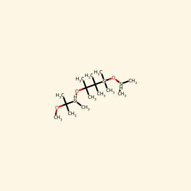 COC(C)(C)[SiH](C)OC(C)(C)C(C)(C)[Si](C)(C)O[SiH](C)C